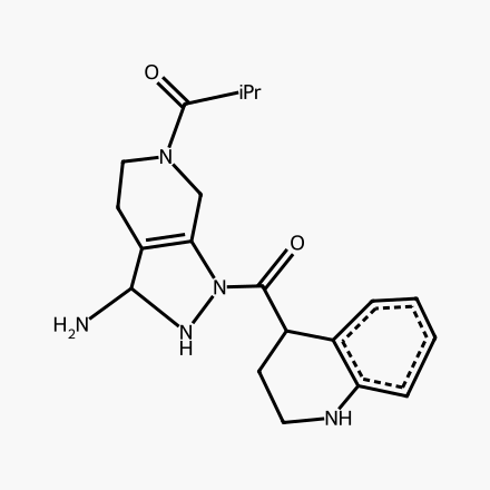 CC(C)C(=O)N1CCC2=C(C1)N(C(=O)C1CCNc3ccccc31)NC2N